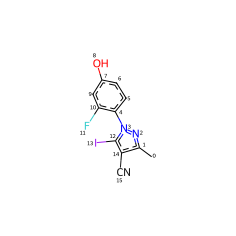 Cc1nn(-c2ccc(O)cc2F)c(I)c1C#N